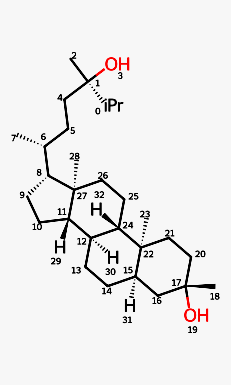 CC(C)[C@](C)(O)CC[C@@H](C)[C@H]1CC[C@H]2[C@@H]3CC[C@@H]4C[C@@](C)(O)CC[C@]4(C)[C@H]3CC[C@]12C